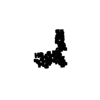 C#C/C=C\c1cc(O)cc(-c2c(F)cc3c(N4CC5CCC(C4)N5)nc(OCC4(CN5CCC6(CC5)CC(F)(F)C6)CC4)nc3c2F)c1CF